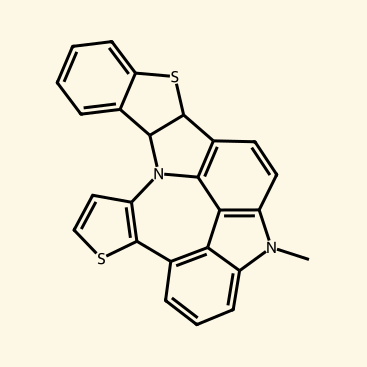 Cn1c2cccc3c4sccc4n4c5c(ccc1c5c32)C1Sc2ccccc2C14